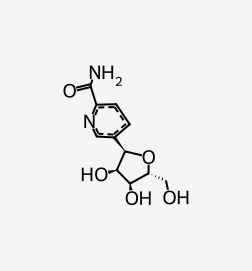 NC(=O)c1ccc([C@H]2O[C@H](CO)[C@@H](O)[C@H]2O)cn1